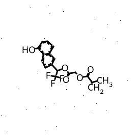 C=C(C)C(=O)OCC(=O)OC(c1ccc2c(O)cccc2c1)C(F)(F)F